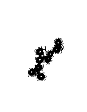 C1=CCCC(c2ccc(-c3ccc4c(c3)c3ccccc3n4-c3ccccc3)cc2Nc2cccc3cc(-c4ccc5sc6ccccc6c5c4)ccc23)=C1